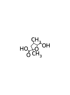 CC1CC(C)(C(=O)O)OC1CO